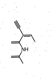 C#C/C(=C/C)C(=C)NC(=C)C